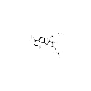 COC1(C(C)C)O[C@H]2[C@@H](O1)[C@](C#N)(c1ccc3c(N)ncnn13)O[C@@H]2COC(=O)C(C)C